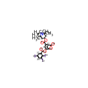 CN1C(C)(C)CC(OC(=O)C2CC(OC(=O)c3cc(I)cc(I)c3I)C3CC2C(=O)O3)CC1(C)C